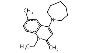 C=C1C=C(N2CCCCCC2)c2cc(C)ccc2N1CC